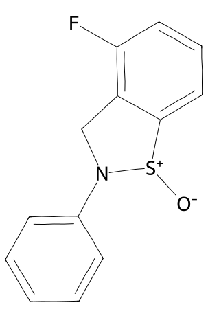 [O-][S+]1c2cccc(F)c2CN1c1ccccc1